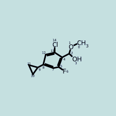 COC(O)c1c(F)cc(C2CC2)cc1Cl